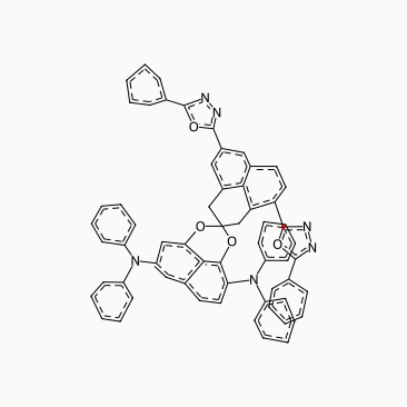 c1ccc(-c2nnc(-c3cc4c5c(c(-c6nnc(-c7ccccc7)o6)ccc5c3)CC3(C4)Oc4cc(N(c5ccccc5)c5ccccc5)cc5ccc(N(c6ccccc6)c6ccccc6)c(c45)O3)o2)cc1